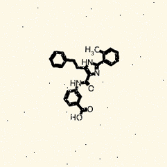 Cc1ccccc1-c1nc(C(=O)Nc2cccc(C(=O)O)c2)c(CCc2ccccc2)[nH]1